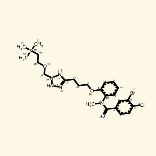 CN(C(=O)c1ccc(Cl)c(Br)c1)c1ccccc1OCCCC1=NNN(COCC[Si](C)(C)C)N1